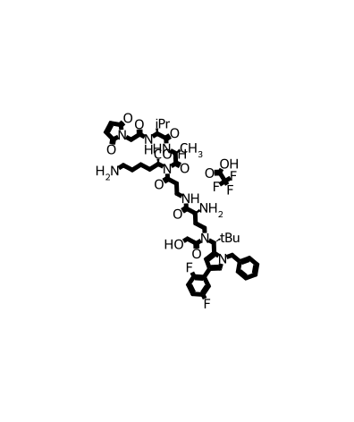 CC(C)[C@H](NC(=O)CN1C(=O)C=CC1=O)C(=O)N[C@@H](C)C(=O)N(C(=O)CCNC(=O)[C@@H](N)CCN(C(=O)CO)[C@@H](c1cc(-c2cc(F)ccc2F)cn1Cc1ccccc1)C(C)(C)C)[C@@H](CCCCN)C(=O)O.O=C(O)C(F)(F)F